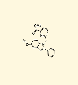 CCOc1ccc2c(c1)cc(-c1ccccc1)n2Cc1cccc(C(=O)OC)n1